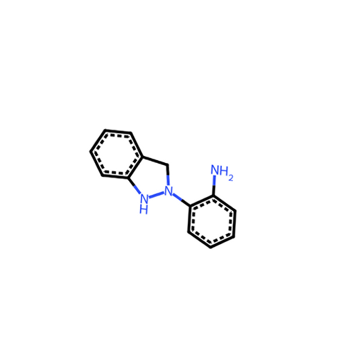 Nc1ccccc1N1Cc2ccccc2N1